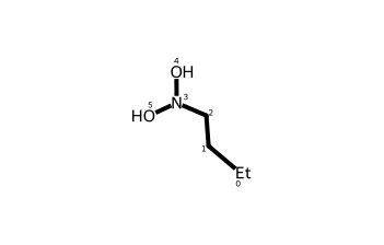 CCCCN(O)O